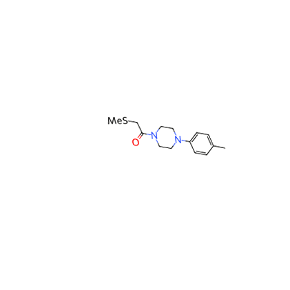 CSCC(=O)N1CCN(c2ccc(C)cc2)CC1